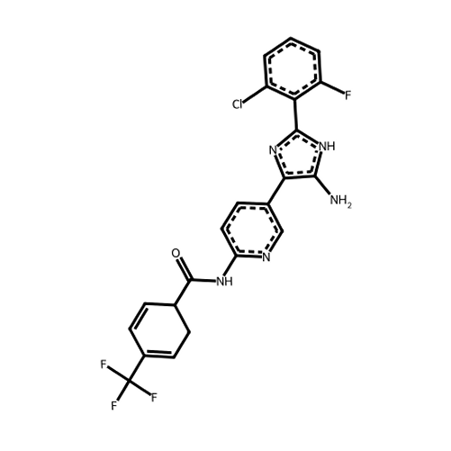 Nc1[nH]c(-c2c(F)cccc2Cl)nc1-c1ccc(NC(=O)C2C=CC(C(F)(F)F)=CC2)nc1